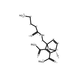 COC(=O)C1=C(C(=O)OC)C2(CNC(=O)CCCC(=O)O)C=C[C@@H]1O2